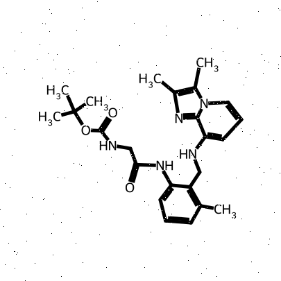 Cc1cccc(NC(=O)CNC(=O)OC(C)(C)C)c1CNc1cccn2c(C)c(C)nc12